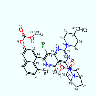 CCc1cccc2cc(OC(=O)OC(C)(C)C)cc(-c3ncc4c(N5CC6CCC(C5)N6C(=O)OC(C)(C)C)nc(N5CCC(C=O)CC5)nc4c3F)c12